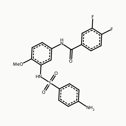 COc1ccc(NC(=O)c2ccc(F)c(F)c2)cc1NS(=O)(=O)c1ccc(N)cc1